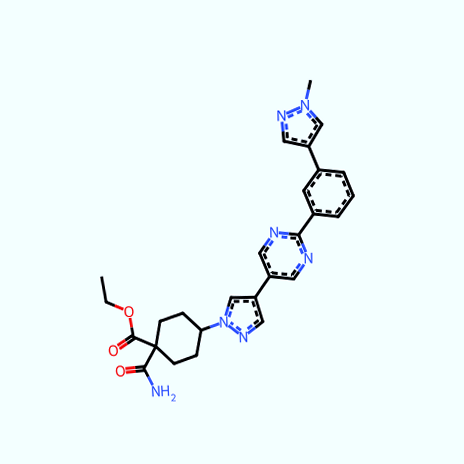 CCOC(=O)C1(C(N)=O)CCC(n2cc(-c3cnc(-c4cccc(-c5cnn(C)c5)c4)nc3)cn2)CC1